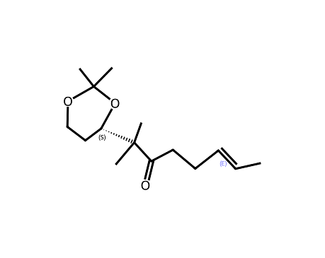 C/C=C/CCC(=O)C(C)(C)[C@@H]1CCOC(C)(C)O1